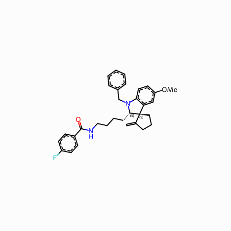 C=C1CCC[C@@]12c1cc(OC)ccc1N(Cc1ccccc1)[C@H]2CCCCNC(=O)c1ccc(F)cc1